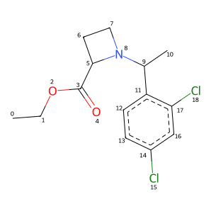 CCOC(=O)C1CCN1C(C)c1ccc(Cl)cc1Cl